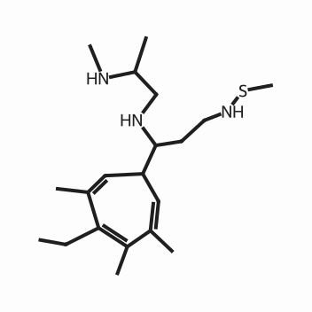 CCC1=C(C)C(C)=CC(C(CCNSC)NCC(C)NC)C=C1C